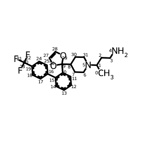 CC(CCN)N1CCC(C2(c3ccccc3-c3ccc(C(F)(F)F)cc3)OC=CO2)CC1